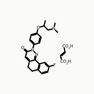 CC(CN(C)C)Oc1ccc(-n2nc3c(cc2=O)CCc2ccc(F)cc2-3)cc1.O=C(O)C=CC(=O)O